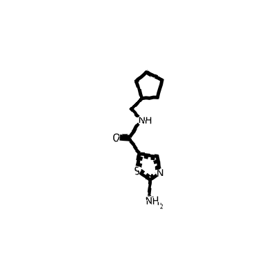 Nc1ncc(C(=O)NCC2CCCC2)s1